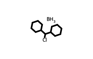 B.ClC(C1CCCCC1)C1CCCCC1